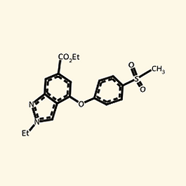 CCOC(=O)c1cc(Oc2ccc(S(C)(=O)=O)cc2)c2cn(CC)nc2c1